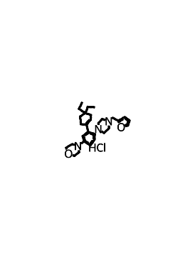 CCC1(CC)CC=C(c2cc(N3CCOCC3)ccc2N2CCN(Cc3ccco3)CC2)CC1.Cl